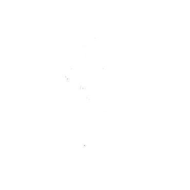 CC1C=C(Cl)C=CC1Oc1ccc2c(-c3c(Cl)cccc3Cl)c(=O)ncn2n1